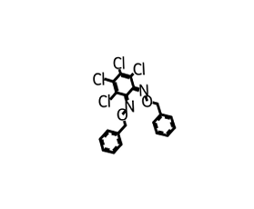 ClC1=C(Cl)C(Cl)=C(Cl)C(=NOCc2ccccc2)C1=NOCc1ccccc1